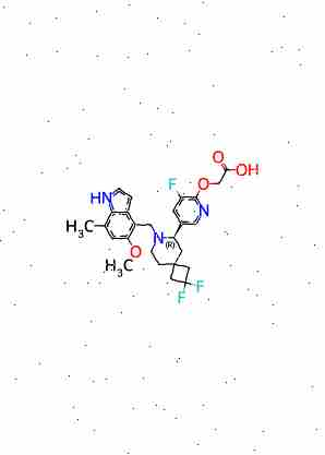 COc1cc(C)c2[nH]ccc2c1CN1CCC2(C[C@@H]1c1cnc(OCC(=O)O)c(F)c1)CC(F)(F)C2